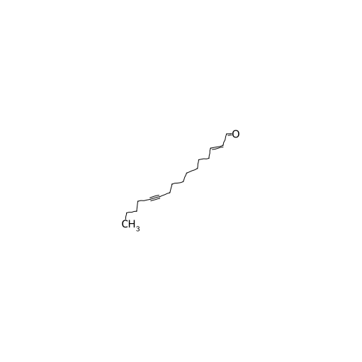 CCCCC#CCCCCCCCC=CC=O